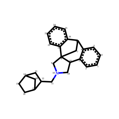 c1ccc2c(c1)C1CC3(CN(CC4CC5CCC4C5)CC23)c2ccccc21